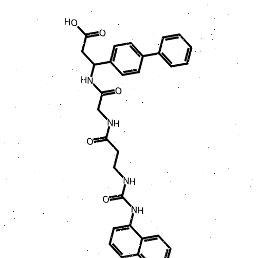 O=C(O)CC(NC(=O)CNC(=O)CCNC(=O)Nc1cccc2ccccc12)c1ccc(-c2ccccc2)cc1